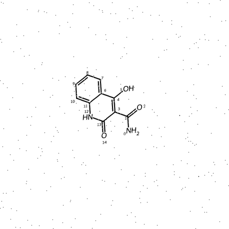 NC(=O)c1c(O)c2ccccc2[nH]c1=O